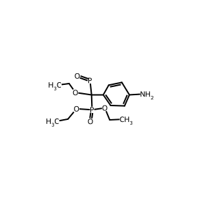 CCOC(P=O)(c1ccc(N)cc1)P(=O)(OCC)OCC